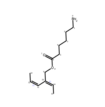 BCCCCCC(=O)OCC(/C=C\C)=C/C